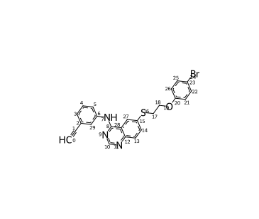 C#Cc1cccc(Nc2ncnc3ccc(SCCOc4ccc(Br)cc4)cc23)c1